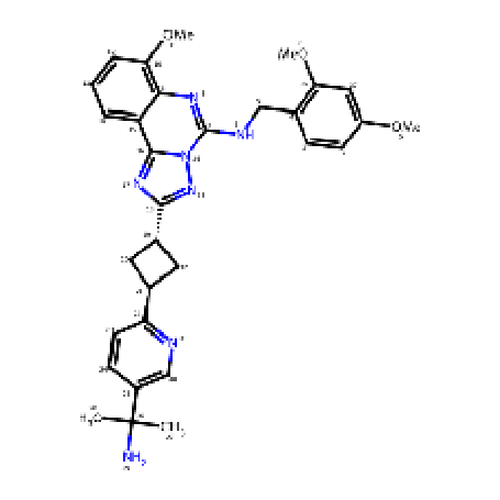 COc1ccc(CNc2nc3c(OC)cccc3c3nc([C@H]4C[C@H](c5ccc(C(C)(C)N)cn5)C4)nn23)c(OC)c1